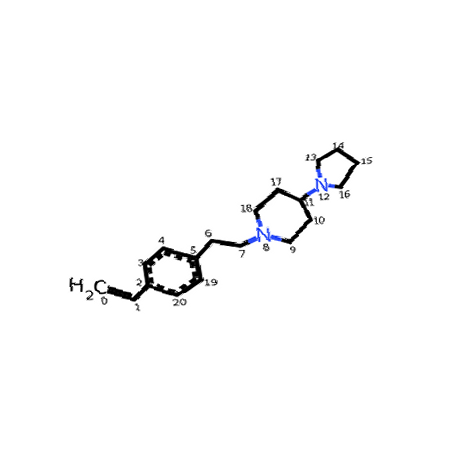 C=Cc1ccc(CCN2CCC(N3CCCC3)CC2)cc1